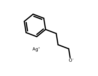 [Ag+].[O-]CCCc1ccccc1